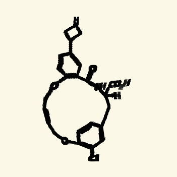 O=C1N[C@H](C(=O)O)Cc2ccc(c(Cl)c2)OCC=CCOc2ccc(C3CNC3)cc21